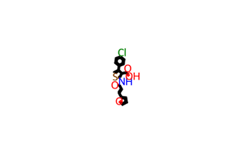 O=C(/C=C/c1ccco1)NC1SC=C(c2ccc(Cl)cc2)C1C(=O)O